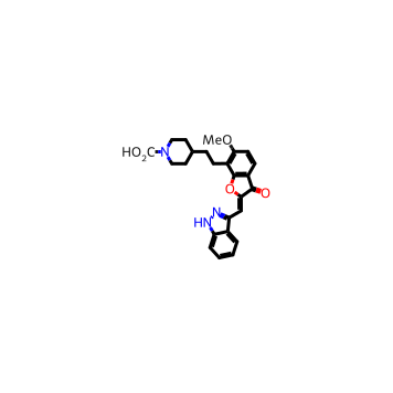 COc1ccc2c(c1CCC1CCN(C(=O)O)CC1)OC(=Cc1n[nH]c3ccccc13)C2=O